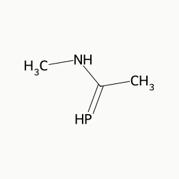 CNC(C)=P